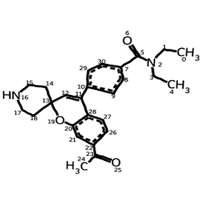 CCN(CC)C(=O)c1ccc(C2=CC3(CCNCC3)Oc3cc(C(C)=O)ccc32)cc1